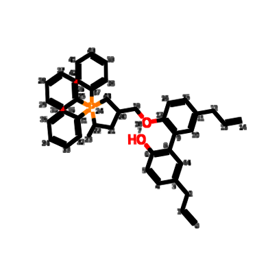 C=CCc1ccc(O)c(-c2cc(CC=C)ccc2OCC2CC(C)P(c3ccccc3)(c3ccccc3)(c3ccccc3)C2)c1